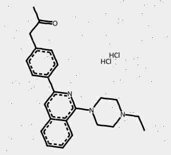 CCN1CCN(c2nc(-c3ccc(CC(C)=O)cc3)cc3ccccc23)CC1.Cl.Cl